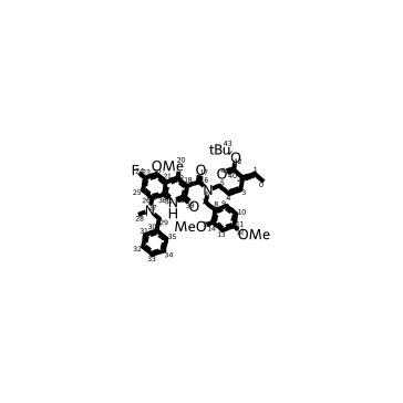 C/C=C(\C=C/CN(Cc1ccc(OC)cc1OC)C(=O)c1c(OC)c2cc(F)cc(N(C)Cc3ccccc3)c2[nH]c1=O)C(=O)OC(C)(C)C